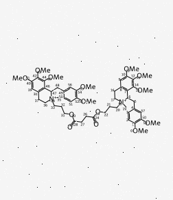 COc1ccc(CC2c3c(cc(OC)c(OC)c3OC)CC[N+]2(C)CCCOC(=O)CCC(=O)OCCC[N+]2(C)CCc3cc(OC)c(OC)c(OC)c3C2Cc2ccc(OC)c(OC)c2)cc1OC